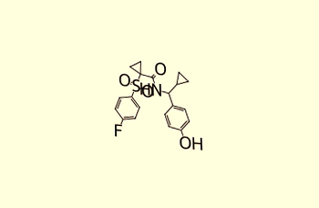 O=C(NC(c1ccc(O)cc1)C1CC1)C1(S(=O)(=O)c2ccc(F)cc2)CC1